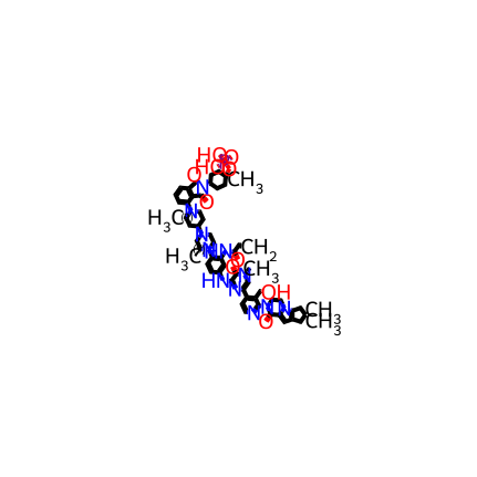 C=CC(=O)Nc1cc(Nc2nc(-c3ccnc(N4CCn5c(cc6c5CC(C)(C)C6)C4=O)c3CO)cn(C)c2=O)ccc1N1CCN(C2CCN(c3cccc4c3C(=O)N(C3CCC(C)(OP(=O)(O)O)CC3)C4=O)[C@H](C)C2)C[C@@H]1C